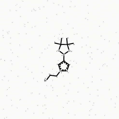 CC1(C)OB(c2cnn(CCBr)c2)OC1(C)C